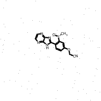 C[S+]([O-])c1cc(OCC#N)ccc1-c1nc2nccnc2[nH]1